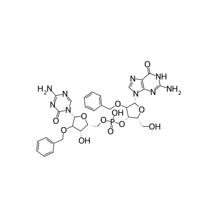 Nc1ncn([C@@H]2O[C@H](COP(=O)(O)O[C@@H]3C(OCc4ccccc4)[C@H](n4cnc5c(=O)[nH]c(N)nc54)O[C@@H]3CO)[C@H](O)C2OCc2ccccc2)c(=O)n1